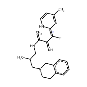 C=C(NCC(C)CN1CCc2ccccc2C1)C(=N)/C(F)=C1/N=C(C)C=CN1